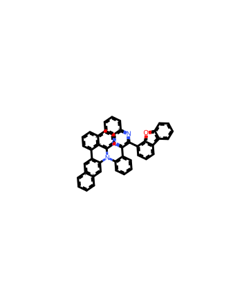 c1ccc(N2c3cc4ccccc4cc3-c3cccc4cccc2c34)c(-c2nc3ccccc3nc2-c2cccc3c2oc2ccccc23)c1